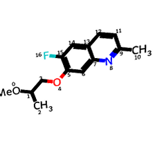 COC(C)COc1cc2nc(C)ccc2cc1F